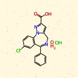 Cl.O.O=C(O)c1cc2n(n1)-c1ccc(Cl)cc1C(c1ccccc1)=NC2